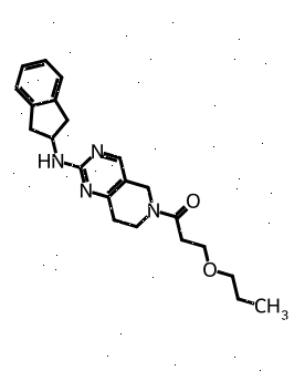 CCCOCCC(=O)N1CCc2nc(NC3Cc4ccccc4C3)ncc2C1